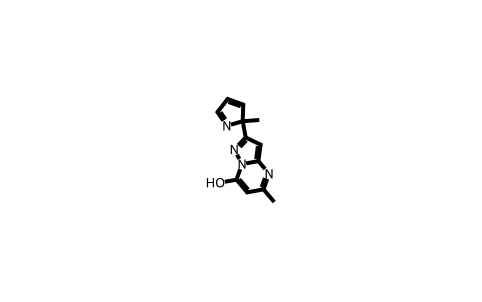 Cc1cc(O)n2nc(C3(C)C=CC=N3)cc2n1